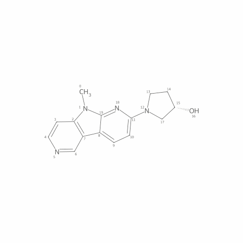 Cn1c2ccncc2c2ccc(N3CC[C@H](O)C3)nc21